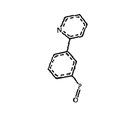 O=Pc1cccc(-c2ccccn2)c1